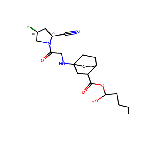 CCCCC(O)OC(=O)C1CC2(NCC(=O)N3C[C@@H](F)C[C@H]3C#N)CCC1CC2